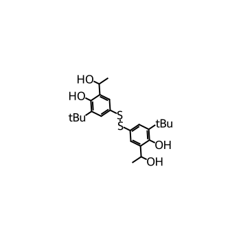 CC(O)c1cc(SSc2cc(C(C)O)c(O)c(C(C)(C)C)c2)cc(C(C)(C)C)c1O